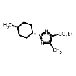 CCOC(=O)c1nn([C@H]2CC[C@H](C)CC2)nc1C